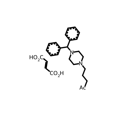 CC(=O)CCCN1CCN(C(c2ccccc2)c2ccccc2)CC1.O=C(O)C=CC(=O)O